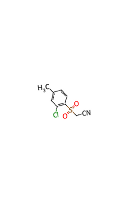 Cc1ccc(S(=O)(=O)CC#N)c(Cl)c1